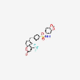 O=c1cc(C(F)(F)F)c2cc(Cc3ccc(S(=O)(=O)Nc4ccc5c(c4)OCO5)cc3)ccc2o1